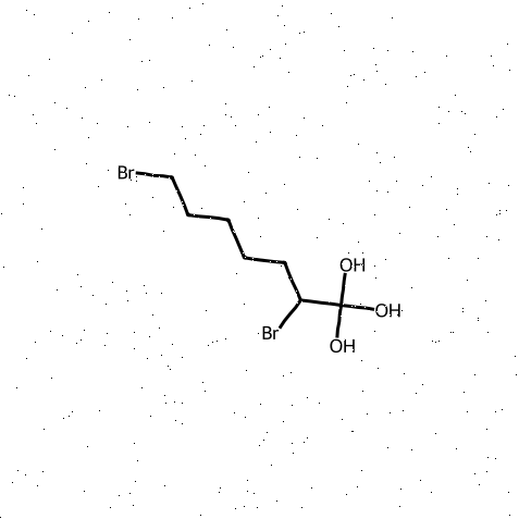 OC(O)(O)C(Br)CCCCCBr